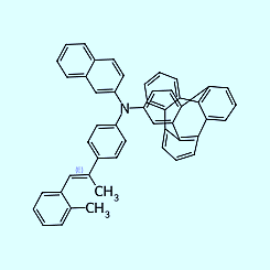 C/C(=C\c1ccccc1C)c1ccc(N(c2ccc3c(c2)-c2c4cccc2-c2cccc-3c2-c2ccccc2-4)c2ccc3ccccc3c2)cc1